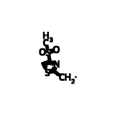 [CH2]c1nc(S(C)(=O)=O)cs1